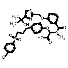 CN(C(=O)c1cccc(OCc2nc(C(C)(C)C)cs2)c1)C(Oc1ccc(CCCS(=O)(=O)c2ccc(Cl)cc2)cc1)C(=O)O